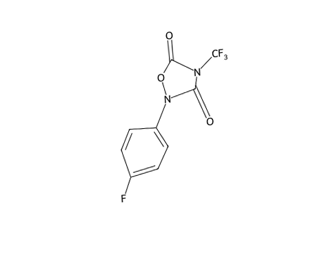 O=c1on(-c2ccc(F)cc2)c(=O)n1C(F)(F)F